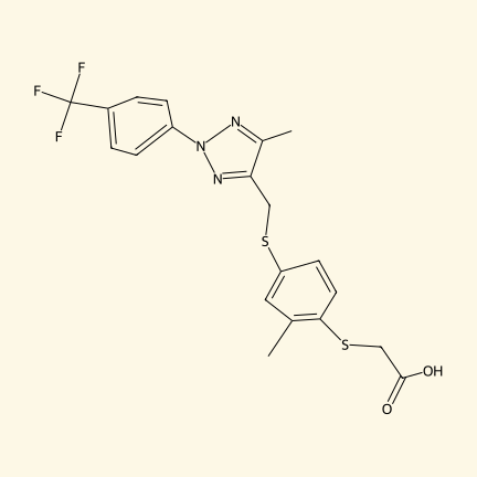 Cc1cc(SCc2nn(-c3ccc(C(F)(F)F)cc3)nc2C)ccc1SCC(=O)O